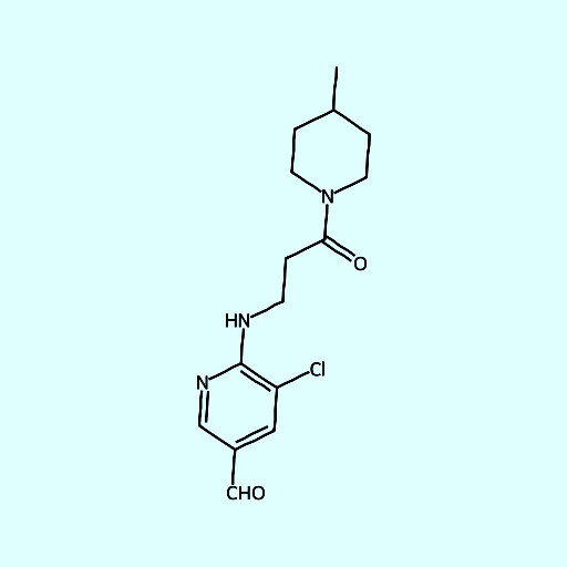 CC1CCN(C(=O)CCNc2ncc(C=O)cc2Cl)CC1